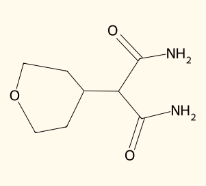 NC(=O)C(C(N)=O)C1CCOCC1